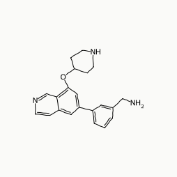 NCc1cccc(-c2cc(OC3CCNCC3)c3cnccc3c2)c1